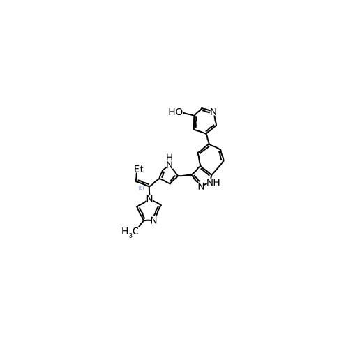 CC/C=C(\c1c[nH]c(-c2n[nH]c3ccc(-c4cncc(O)c4)cc23)c1)n1cnc(C)c1